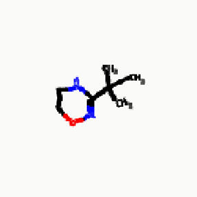 CC(C)(C)C1=NOCCN1